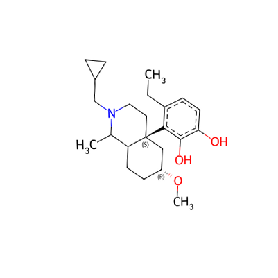 CCc1ccc(O)c(O)c1[C@]12CCN(CC3CC3)C(C)C1CC[C@@H](OC)C2